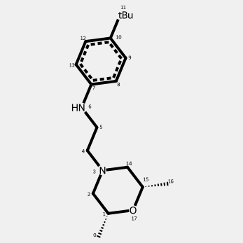 C[C@@H]1CN(CCNc2ccc(C(C)(C)C)cc2)C[C@H](C)O1